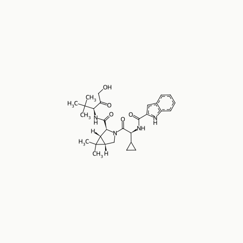 CC(C)(C)[C@H](NC(=O)[C@@H]1[C@@H]2[C@H](CN1C(=O)[C@@H](NC(=O)c1cc3ccccc3[nH]1)C1CC1)C2(C)C)C(=O)CO